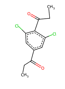 CCC(=O)c1cc(Cl)c(C(=O)CC)c(Cl)c1